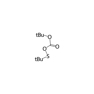 CC(C)(C)OC(=O)OSC(C)(C)C